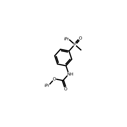 CC(C)OC(=O)Nc1cccc(P(C)(=O)C(C)C)c1